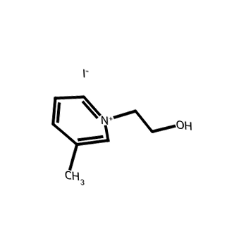 Cc1ccc[n+](CCO)c1.[I-]